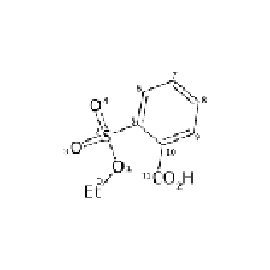 CCOS(=O)(=O)c1ccccc1C(=O)O